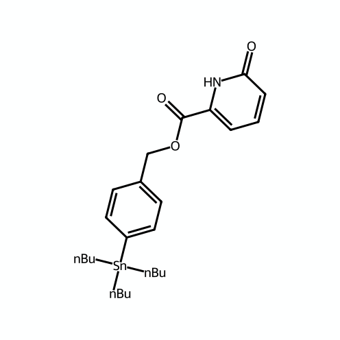 CCC[CH2][Sn]([CH2]CCC)([CH2]CCC)[c]1ccc(COC(=O)c2cccc(=O)[nH]2)cc1